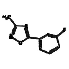 Cc1noc(-c2cccc(F)c2)n1